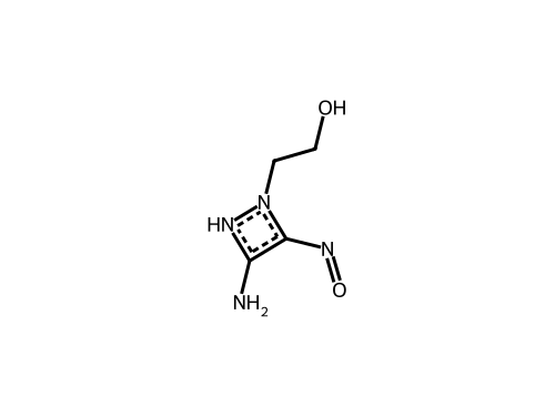 Nc1[nH]n(CCO)c1N=O